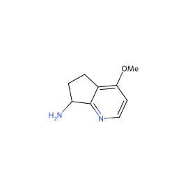 COc1ccnc2c1CCC2N